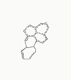 C1=CC2C=c3ccc4cccc5ccc(c3c54)C2C=C1